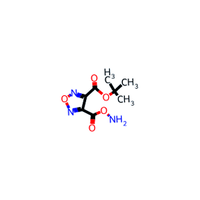 CC(C)(C)OC(=O)c1nonc1C(=O)ON